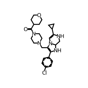 O=C(C1CCOCC1)N1CCN(CC2=C(c3ccc(Cl)cc3)NC3CNC(C4CC4)=CN23)CC1